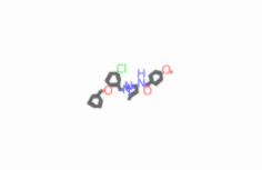 COc1ccc(C(=O)Nc2cc(C)n(Cc3cc(Cl)ccc3OCc3ccccc3)n2)cc1